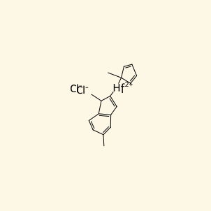 Cc1ccc2c(c1)C=[C]([Hf+2][C]1(C)C=CC=C1)C2C.[Cl-].[Cl-]